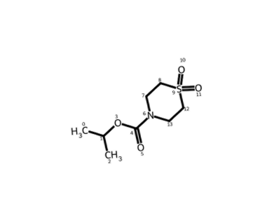 CC(C)OC(=O)N1CCS(=O)(=O)CC1